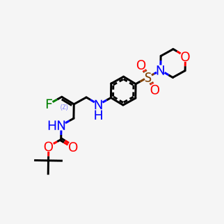 CC(C)(C)OC(=O)NC/C(=C\F)CNc1ccc(S(=O)(=O)N2CCOCC2)cc1